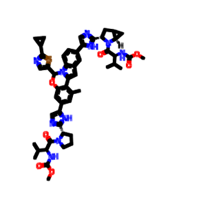 COC(=O)N[C@H](C(=O)N1CCC[C@H]1c1ncc(-c2cc(C)c3c(c2)OC(c2cnc(C4CC4)s2)n2c-3cc3cc(-c4cnc([C@@H]5CC6C[C@H]6N5C(=O)[C@@H](NC(=O)OC)C(C)C)[nH]4)ccc32)[nH]1)C(C)C